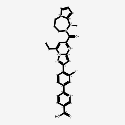 CCc1cc(C(=O)N2CCCn3cccc3[C@H]2C)nc2cc(-c3ccc(-c4ccc(C(=O)O)cn4)cc3F)nn12